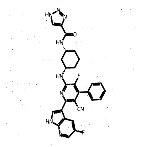 N#Cc1c(-c2c[nH]c3ncc(F)cc23)nc(N[C@@H]2CCC[C@@H](NC(=O)c3c[nH]nn3)C2)c(F)c1-c1ccccc1